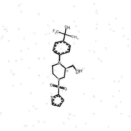 CC(O)(c1ccc(N2CCN(S(=O)(=O)c3cccs3)C[C@@H]2CO)cc1)C(F)(F)F